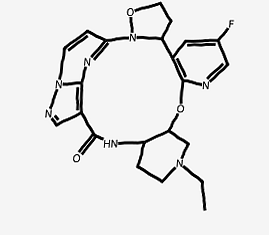 CCN1CCC2NC(=O)c3cnn4ccc(nc34)N3OCCC3c3cc(F)cnc3OC2C1